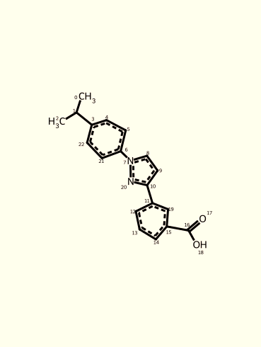 CC(C)c1ccc(-n2ccc(-c3cccc(C(=O)O)c3)n2)cc1